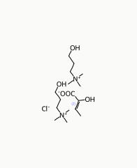 C/C=C(\O)C(=O)[O-].C[N+](C)(C)CCCO.C[N+](C)(C)CCCO.[Cl-]